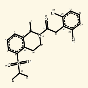 CC1c2cccc(S(=O)(=O)C(C)C)c2CCN1C(=O)Cc1c(Cl)cccc1Cl